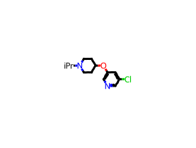 CC(C)N1CCC(Oc2cncc(Cl)c2)CC1